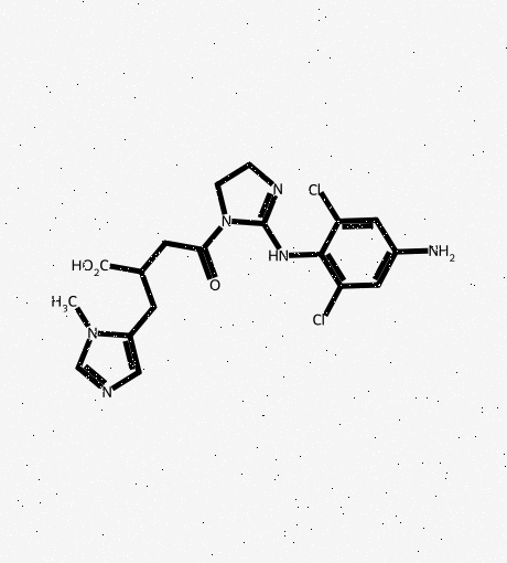 Cn1cncc1CC(CC(=O)N1CCN=C1Nc1c(Cl)cc(N)cc1Cl)C(=O)O